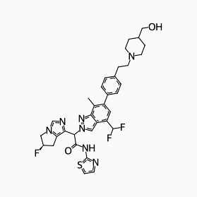 Cc1c(-c2ccc(CCN3CCC(CO)CC3)cc2)cc(C(F)F)c2cn(C(C(=O)Nc3nccs3)c3ncn4c3C[C@@H](F)C4)nc12